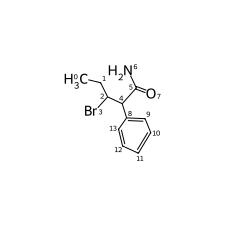 CCC(Br)C(C(N)=O)c1ccccc1